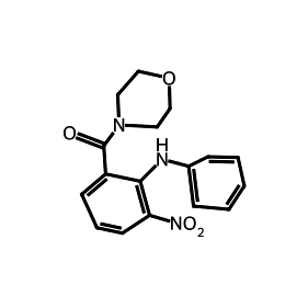 O=C(c1cccc([N+](=O)[O-])c1Nc1ccccc1)N1CCOCC1